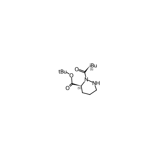 CC[C@H](C)C(=O)N1NCCC[C@H]1C(=O)OC(C)(C)C